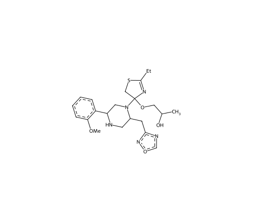 CCC1=NC(OCC(C)O)(N2CC(c3ccccc3OC)NCC2Cc2ncon2)CS1